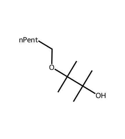 CCCCCCOC(C)(C)C(C)(C)O